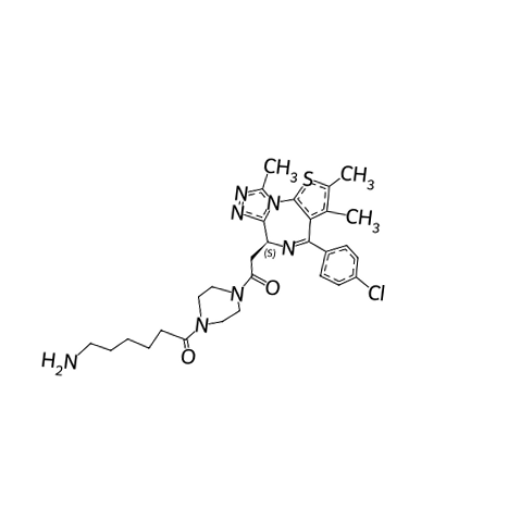 Cc1sc2c(c1C)C(c1ccc(Cl)cc1)=N[C@@H](CC(=O)N1CCN(C(=O)CCCCCN)CC1)c1nnc(C)n1-2